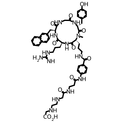 CN1C(=O)[C@@H](Cc2ccc(O)cc2)NC(=O)CNC(=O)[C@H](Cc2ccc3ccccc3c2)NC(=O)[C@H](CCCNC(=N)N)NC(=O)[C@H]1CCCNC(=O)c1ccc(NC(=O)CCNC(=O)CNCCNCC(=O)O)cc1